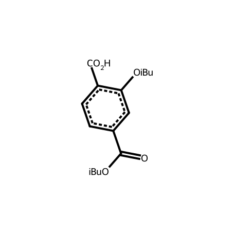 CC(C)COC(=O)c1ccc(C(=O)O)c(OCC(C)C)c1